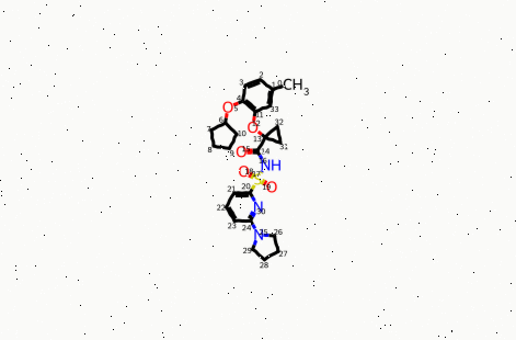 Cc1ccc(OC2CCCC2)c(OC2(C(=O)NS(=O)(=O)c3cccc(N4CCCC4)n3)CC2)c1